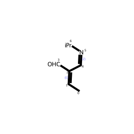 C/C=C(C=O)\C=N/C(C)C